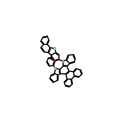 c1ccc(-n2c3ccccc3c3c4c5ccccc5c5ccccc5c4c4c5ccccc5n(-c5ccc6c(c5)oc5c7ccccc7ccc65)c4c32)cc1